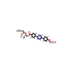 CCCCCCCCCC(=O)CC(OC(=O)c1ccc(-c2ncc(-c3ccc(OCCCCCCCC)cc3)cn2)cc1)C(F)(F)F